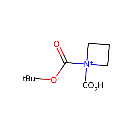 CC(C)(C)OC(=O)[N+]1(C(=O)O)CCC1